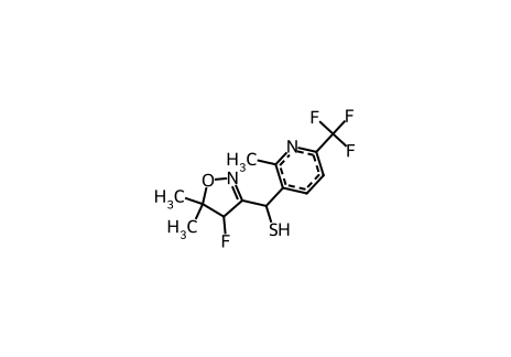 Cc1nc(C(F)(F)F)ccc1C(S)C1=NOC(C)(C)C1F